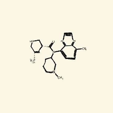 C[C@@H]1CNC[C@H](C(=O)N(c2ccc(C#N)c3nccnc23)C2CCCN(C)C2)C1